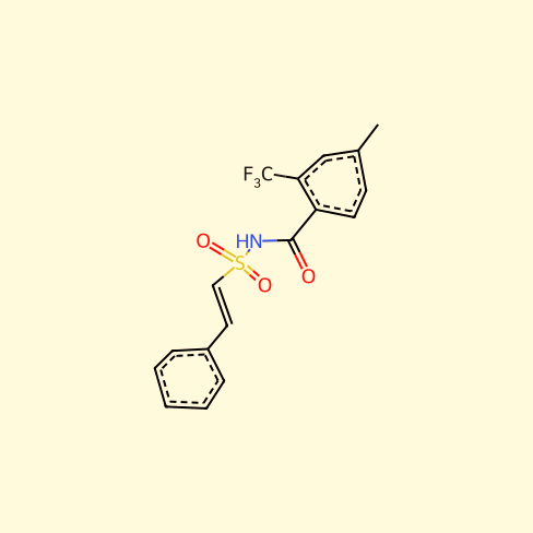 Cc1ccc(C(=O)NS(=O)(=O)C=Cc2ccccc2)c(C(F)(F)F)c1